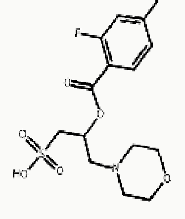 O=C(OC(CN1CCOCC1)CS(=O)(=O)O)c1ccc(F)cc1F